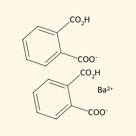 O=C([O-])c1ccccc1C(=O)O.O=C([O-])c1ccccc1C(=O)O.[Ba+2]